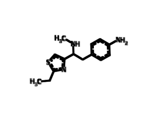 CCc1nc(C(Cc2ccc(N)cc2)NC)cs1